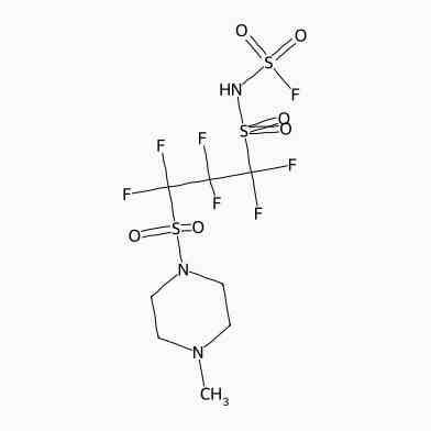 CN1CCN(S(=O)(=O)C(F)(F)C(F)(F)C(F)(F)S(=O)(=O)NS(=O)(=O)F)CC1